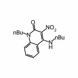 CCCCNc1c([N+](=O)[O-])c(=O)n(CCCC)c2ccccc12